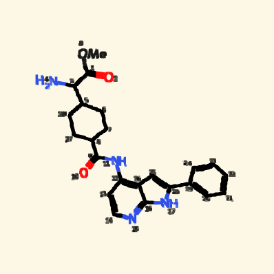 COC(=O)C(N)C1CCC(C(=O)Nc2ccnc3[nH]c(-c4ccccc4)cc23)CC1